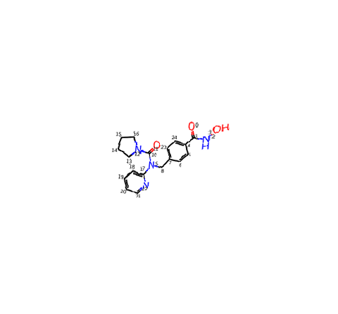 O=C(NO)c1ccc(CN(C(=O)N2CCCC2)c2ccccn2)cc1